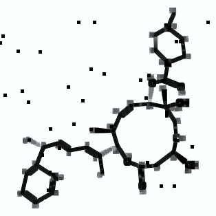 CC(=CC=C[C@@H](C)c1ccccn1)[C@H]1OC(=O)C[C@H](O)CC[C@@](C)(O)[C@@H](OC(=O)N2CCN(C)CC2)C=C[C@@H]1C